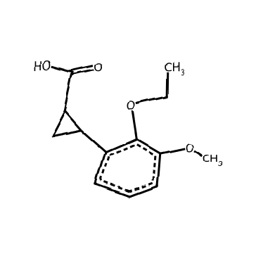 CCOc1c(OC)cccc1C1CC1C(=O)O